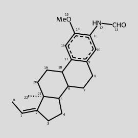 C/C=C1/CCC2C3CCc4cc(NC=O)c(OC)cc4C3CC[C@]12C